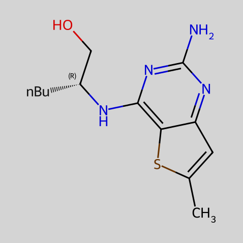 CCCC[C@H](CO)Nc1nc(N)nc2cc(C)sc12